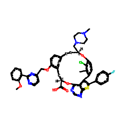 COc1ccccc1-c1nccc(COc2ccc3cc2C[C@H](C(=O)O)Oc2ncnc4sc(-c5ccc(F)cc5)c(c24)-c2ccc(c(Cl)c2C)O[C@H](CN2CCN(C)CC2)CC3)n1